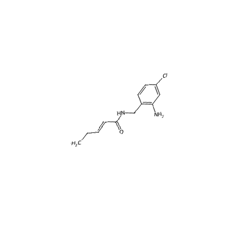 [CH2]CC=CC(=O)NCc1ccc(Cl)cc1N